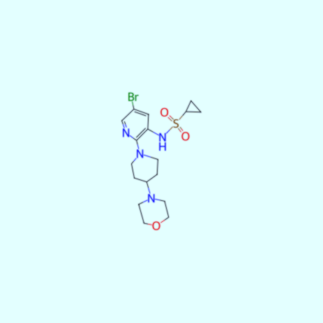 O=S(=O)(Nc1cc(Br)cnc1N1CCC(N2CCOCC2)CC1)C1CC1